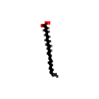 CCCCCCCCC/C=C/C/C=C/CCCCCCCC(=O)O